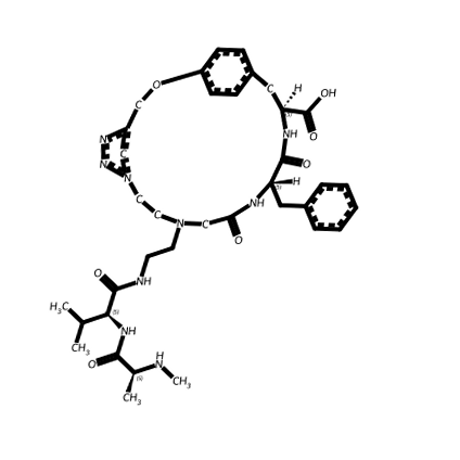 CN[C@@H](C)C(=O)N[C@H](C(=O)NCCN1CCn2cc(nn2)COc2ccc(cc2)C[C@@H](C(=O)O)NC(=O)[C@H](Cc2ccccc2)NC(=O)C1)C(C)C